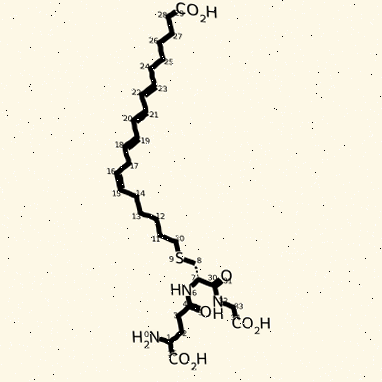 NC(CCC(=O)N[C@H](CSCCCCC/C=C\CC=CC=C/C=C/CCCCCC(=O)O)C(=O)NCC(=O)O)C(=O)O